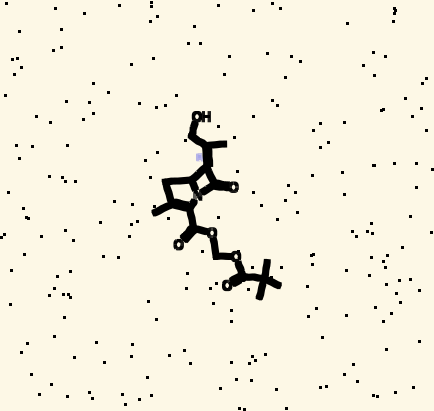 CC1=C(C(=O)OCOC(=O)C(C)(C)C)N2C(=O)/C(=C(\C)CO)C2C1